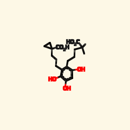 CC(C)(CCCc1c(O)cc(O)c(O)c1CCCC1(C(=O)O)CC1)C(=O)O